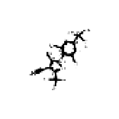 N#Cc1c(C(F)(F)F)nn(-c2c(Cl)cc(C(F)(F)F)cc2Cl)c1I